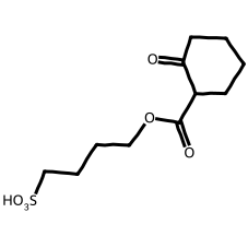 O=C1CCCCC1C(=O)OCCCCS(=O)(=O)O